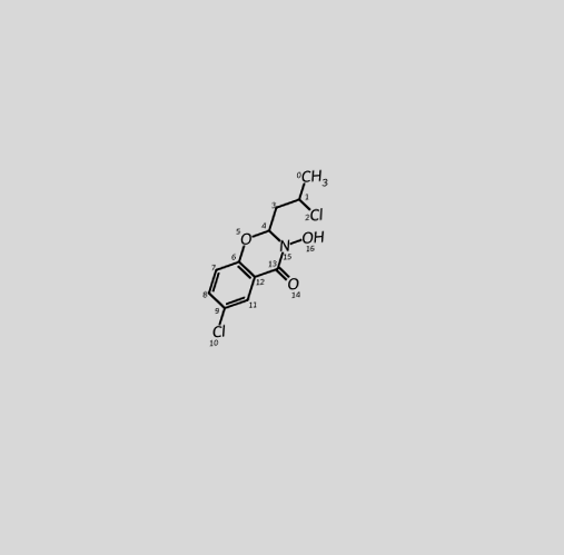 CC(Cl)CC1Oc2ccc(Cl)cc2C(=O)N1O